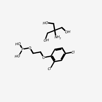 NC(CO)(CO)CO.OP(O)OCCOc1ccc(Cl)cc1Cl